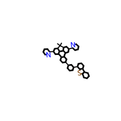 CC1(C)c2cc(-c3ccccn3)cc3c4ccc(-c5cccc(-c6cccc7c6sc6ccccc67)c5)cc4c4cc(-c5ccccn5)cc1c4c23